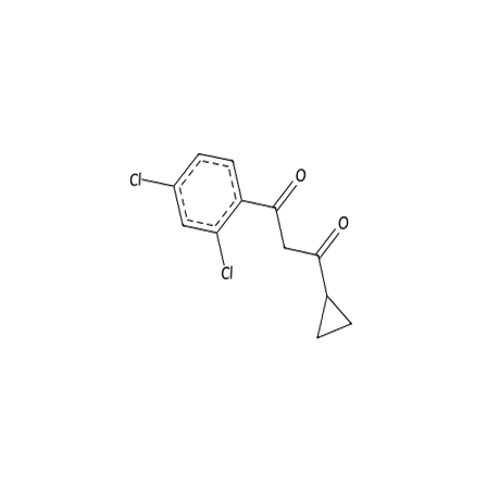 O=C(CC(=O)C1CC1)c1ccc(Cl)cc1Cl